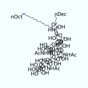 CCCCCCCC/C=C\CCCCCCCCCCCCCC(=O)N[C@@H](CO[C@@H]1OC(CO)[C@@H](O[C@@H]2OC(CO)[C@H](O)[C@H](O[C@@H]3OC(CO)[C@@H](O[C@@H]4OC(CO[C@@H]5OC(CO)[C@@H](O)[C@H](O)C5NC(C)=O)[C@H](O)[C@H](O[C@@H]5OC(CO)[C@@H](O[C@@H]6OC(CO)[C@H](O)[C@H](O)C6O)[C@H](O)C5NC(C)=O)C4O)[C@H](O)C3NC(C)=O)C2O)[C@H](O)C1O)[C@H](O)/C=C/CCCCCCCCCCCCC